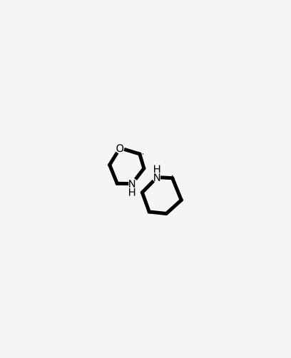 [CH]1CCCCN1.[CH]1CNCCO1